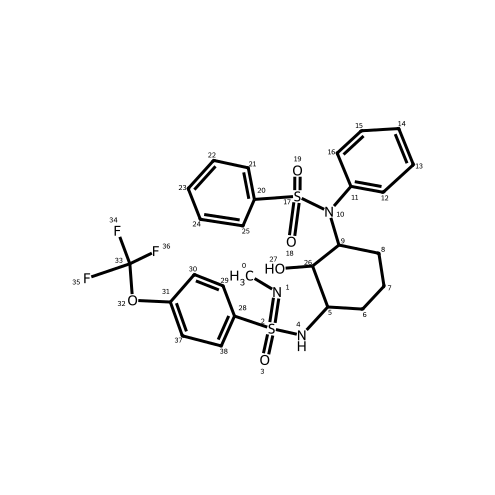 CN=S(=O)(NC1CCCC(N(c2ccccc2)S(=O)(=O)c2ccccc2)C1O)c1ccc(OC(F)(F)F)cc1